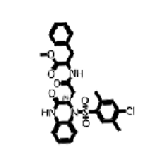 COC(=O)C(Cc1ccccc1)NC(=O)C[C@@H]1C(=O)Nc2ccccc2N1S(=O)(=O)c1cc(C)c(Cl)cc1C